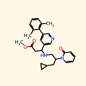 COC(=O)CC(NCC(CC1CC1)n1ccccc1=O)c1cncc(-c2c(C)cccc2C)c1